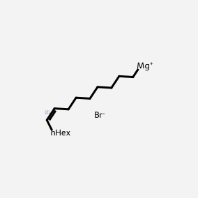 CCCCCC/C=C\CCCCCC[CH2][Mg+].[Br-]